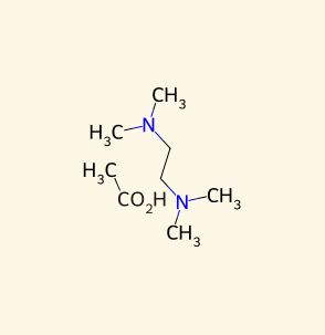 CC(=O)O.CN(C)CCN(C)C